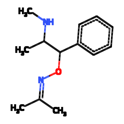 CNC(C)C(ON=C(C)C)c1ccccc1